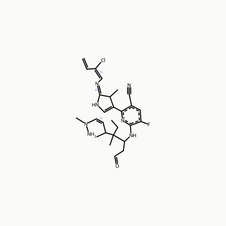 C=C/C(Cl)=C\N=C1\NC=C(c2nc(NC(CC=O)C(C)(CC)C(C)/C=C\N(C)N)c(F)cc2C#N)C1C